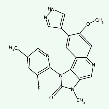 COc1cc2ncc3c(c2cc1-c1cn[nH]c1)n(-c1ncc(C)cc1F)c(=O)n3C